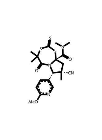 COc1ccc([C@@H]2N3C(=O)C(C)(C)SC(=S)S[C@]3(C(=O)N(C)C)C[C@]2(C)C#N)cn1